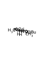 Cc1cc(-c2nc(NC(=O)N[C@H]3CCCN(C)C3)cs2)ccc1OCC(C)C